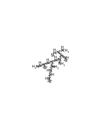 CNCCN(CCNC1CCC1)CCN(CCNC1CCC1)CCN(CCN)CCNCCN(CCNCCN(CCNCN)C1CCC1)CCN(N)CCNCCNCCNC1CCC1